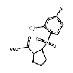 COC(=O)C1CCCN1S(=O)(=O)c1ccc(Br)cc1[N+](=O)[O-]